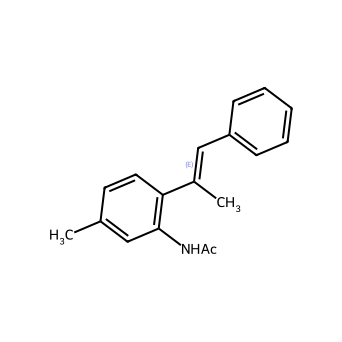 CC(=O)Nc1cc(C)ccc1/C(C)=C/c1ccccc1